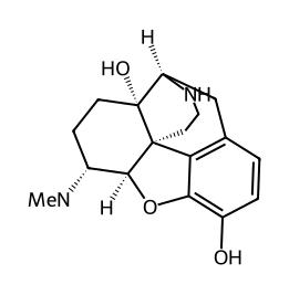 CN[C@@H]1CC[C@@]2(O)[C@H]3Cc4ccc(O)c5c4[C@@]2(CCN3)[C@H]1O5